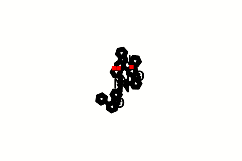 c1ccc(-c2nc(-c3ccc4c(c3)oc3cccc(-c5ccccc5)c34)nc(-c3cccc4oc5ccc(-c6cccc7c8ccccc8n(-c8ccccc8)c67)cc5c34)n2)cc1